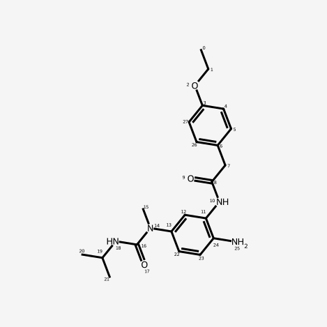 CCOc1ccc(CC(=O)Nc2cc(N(C)C(=O)NC(C)C)ccc2N)cc1